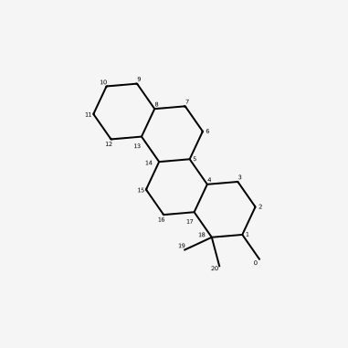 CC1CCC2C3CCC4CCCCC4C3CCC2C1(C)C